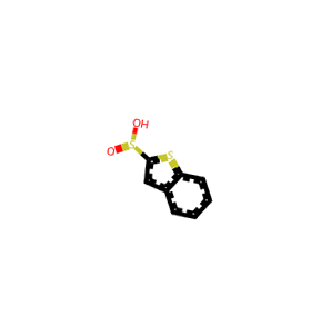 O=S(O)c1cc2ccccc2s1